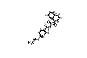 COCc1ccc(C(=O)NS(=O)(=O)c2cccc3ccccc23)cn1